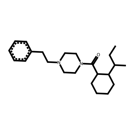 CCC(C)C1CCCCC1C(=O)N1CCN(CCc2ccccc2)CC1